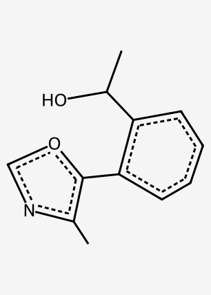 Cc1ncoc1-c1ccccc1C(C)O